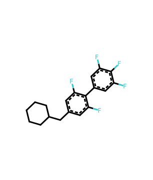 Fc1cc(-c2c(F)cc(CC3CCCCC3)cc2F)cc(F)c1F